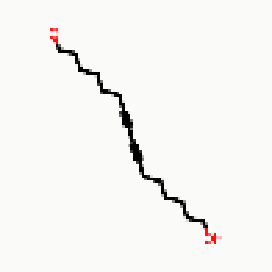 OCCCCCCC#CC#CCCCCCCO